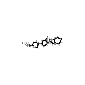 CNc1ccc(-c2ccc(-c3cc4ccncc4[nH]3)c(F)c2)cn1